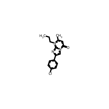 CCCn1c(C)cc(=O)n2cc(-c3ccc(Cl)cc3)nc12